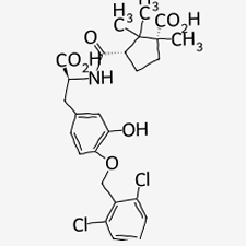 CC1(C)[C@@H](C(=O)N[C@@H](Cc2ccc(OCc3c(Cl)cccc3Cl)c(O)c2)C(=O)O)CC[C@@]1(C)C(=O)O